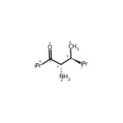 CC(C)C(=O)[C@@H](N)[C@@H](C)C(C)C